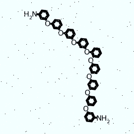 Nc1cccc(Oc2cccc(Oc3cccc(Oc4cccc(Oc5ccccc5Oc5cccc(Oc6cccc(Oc7cccc(Oc8cccc(N)c8)c7)c6)c5)c4)c3)c2)c1